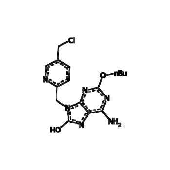 CCCCOc1nc(N)c2nc(O)n(Cc3ccc(CCl)cn3)c2n1